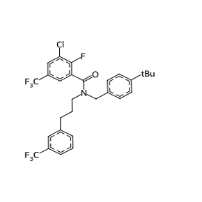 CC(C)(C)c1ccc(CN(CCCc2cccc(C(F)(F)F)c2)C(=O)c2cc(C(F)(F)F)cc(Cl)c2F)cc1